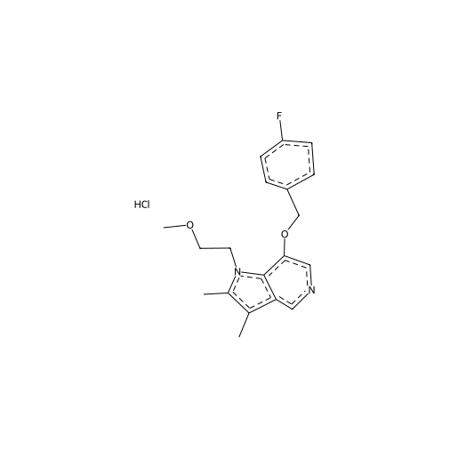 COCCn1c(C)c(C)c2cncc(OCc3ccc(F)cc3)c21.Cl